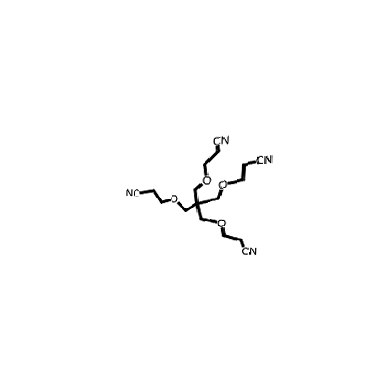 N#CCCOCC(COCCC#N)(COCCC#N)COCCC#N